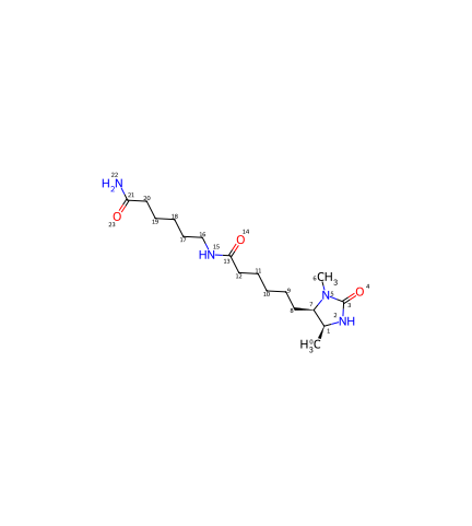 C[C@@H]1NC(=O)N(C)[C@@H]1CCCCCC(=O)NCCCCCC(N)=O